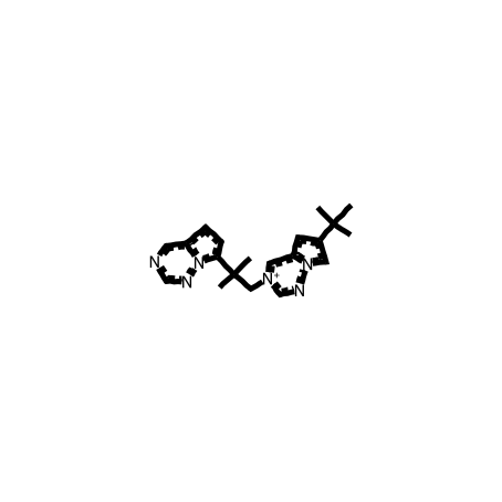 CC(C)(C)c1cc2c[n+](CC(C)(C)c3ccc4cncnn34)cnn2c1